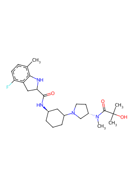 Cc1ccc(F)c2c1NC(C(=O)N[C@@H]1CCCC(N3CC[C@H](N(C)C(=O)C(C)(C)O)C3)C1)C2